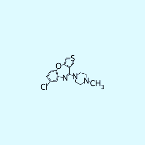 CN1CCN(C2=Nc3cc(Cl)ccc3Oc3cscc32)CC1